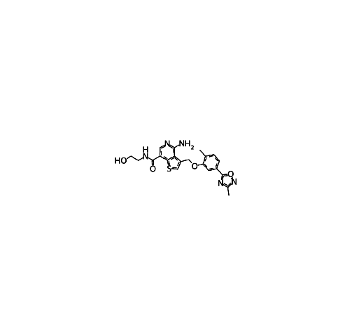 Cc1noc(-c2ccc(C)c(OCc3csc4c(C(=O)NCCO)cnc(N)c34)c2)n1